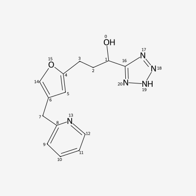 OC(CCc1cc(Cc2ccccn2)co1)c1nn[nH]n1